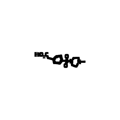 CCOC(=O)Cc1ccc(S(=O)(=O)N2CCN(C)CC2)cc1